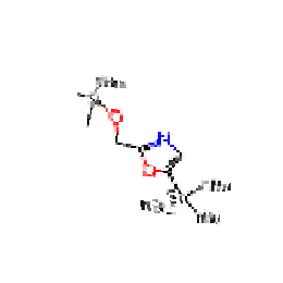 CCC[CH2][Sn]([CH2]CCC)([CH2]CCC)[c]1cnc(CO[Si](C)(C)C(C)(C)C)o1